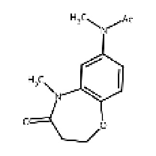 CC(=O)N(C)c1ccc2c(c1)N(C)C(=O)CCO2